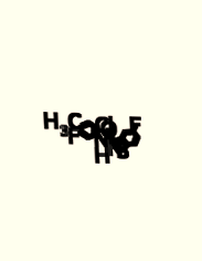 Cc1cc(Cl)c(NC(=O)c2nsc3ccc(F)cc23)cc1F